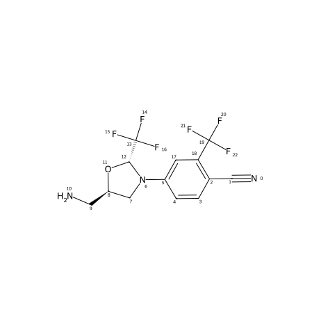 N#Cc1ccc(N2C[C@@H](CN)O[C@@H]2C(F)(F)F)cc1C(F)(F)F